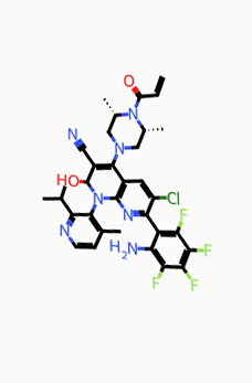 C=CC(=O)N1[C@H](C)CN(C2=C(C#N)C(O)N(c3c(C)ccnc3C(C)C)c3nc(-c4c(N)c(F)c(F)c(F)c4F)c(Cl)cc32)C[C@@H]1C